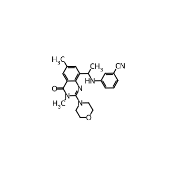 Cc1cc(C(C)Nc2cccc(C#N)c2)c2nc(N3CCOCC3)n(C)c(=O)c2c1